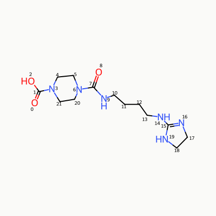 O=C(O)N1CCN(C(=O)NCCCCNC2=NCCN2)CC1